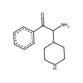 NC(C(=O)c1ccccc1)N1CCNCC1